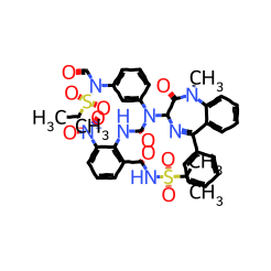 CC(C)S(=O)(=O)NC(=O)c1cccc([N+](=O)[O-])c1NC(=O)N(c1cccc(N(C=O)S(=O)(=O)C(C)C)c1)C1N=C(c2ccccc2)c2ccccc2N(C)C1=O